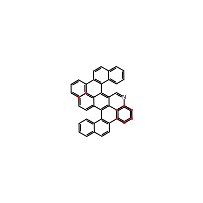 c1ccc(-c2ccc3ccccc3c2-c2c3ccccc3c(-c3c(-c4ccccc4)ccc4ccccc34)c3c2cnc2ccccc23)cc1